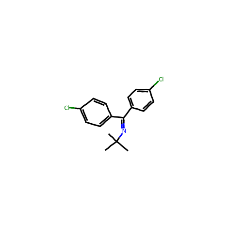 CC(C)(C)N=C(c1ccc(Cl)cc1)c1ccc(Cl)cc1